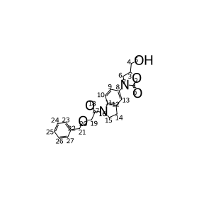 O=C1OC(CO)CN1c1ccc2c(c1)CCN2C(=O)COCc1ccccc1